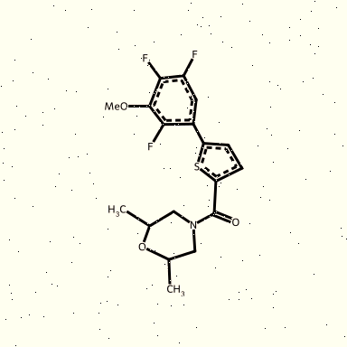 COc1c(F)c(F)cc(-c2ccc(C(=O)N3CC(C)OC(C)C3)s2)c1F